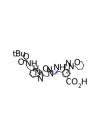 C=NN(/C=C(\N)c1cc(C(=O)O)cc2c1cnn2C1CCCCO1)Cc1cn2cc(CNC(=O)OC(C)(C)C)ccc2n1